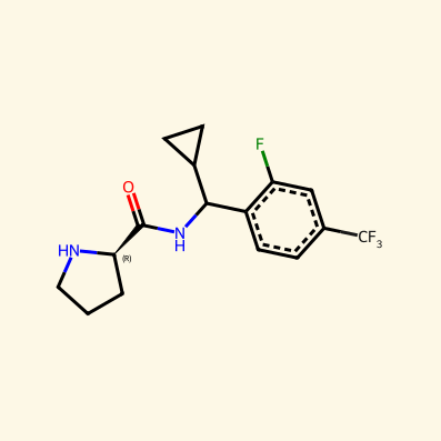 O=C(NC(c1ccc(C(F)(F)F)cc1F)C1CC1)[C@H]1CCCN1